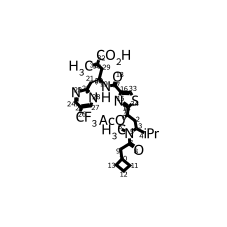 CC(=O)OC(CC(C(C)C)N(C)C(=O)CC1CCC1)c1nc(C(=O)N[C@@H](Cc2ncc(C(F)(F)F)cn2)CC(C)C(=O)O)cs1